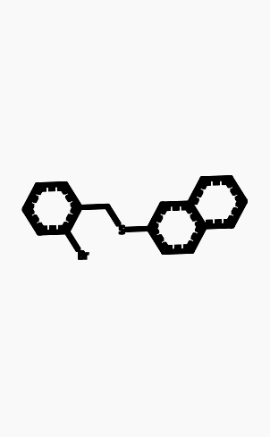 Brc1ccccc1CSc1ccc2ccccc2c1